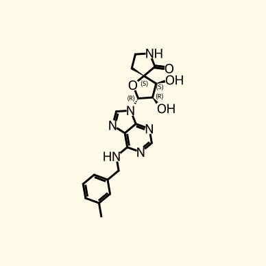 Cc1cccc(CNc2ncnc3c2ncn3[C@@H]2O[C@@]3(CCNC3=O)[C@@H](O)[C@H]2O)c1